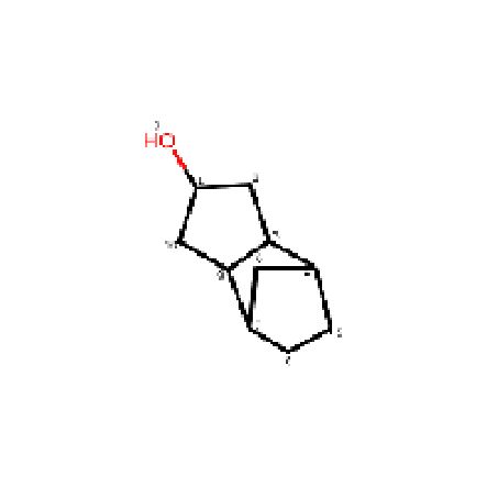 OC1CC2C3[CH]CC(C3)C2C1